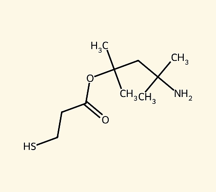 CC(C)(N)CC(C)(C)OC(=O)CCS